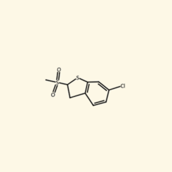 CS(=O)(=O)C1Cc2ccc(Cl)cc2S1